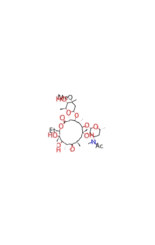 CC[C@H]1OC(=O)[C@H](C)[C@@H](O[C@H]2C[C@@](C)(OC)[C@@H](O)[C@H](C)O2)[C@H](C)[C@@H](O[C@H]2C[C@@H](N(C)C(C)=O)C[C@@H](C)O2)[C@](C)(O)C[C@@H](C)C(=O)[C@H](C)[C@@H](O)[C@]1(C)O